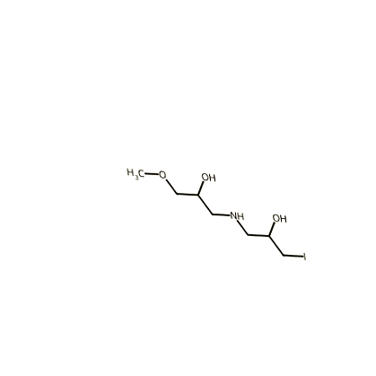 COCC(O)CNCC(O)CI